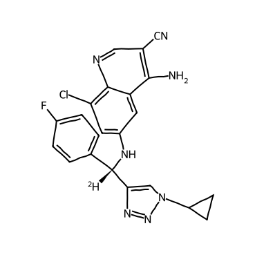 [2H][C@](Nc1cc(Cl)c2ncc(C#N)c(N)c2c1)(c1ccc(F)cc1)c1cn(C2CC2)nn1